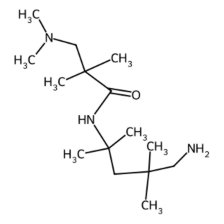 CN(C)CC(C)(C)C(=O)NC(C)(C)CC(C)(C)CN